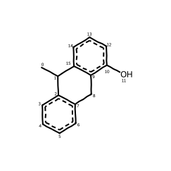 CC1c2ccccc2Cc2c(O)cccc21